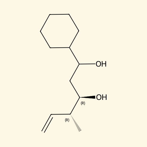 C=C[C@@H](C)[C@H](O)CC(O)C1CCCCC1